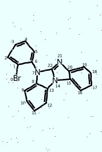 Brc1ccccc1-n1c2ccccc2n2c3ccccc3nc12